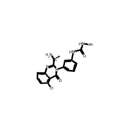 CCCNC(=O)Nc1cccc(-n2c([C@H](C)N)nc3cccc(Cl)c3c2=O)c1